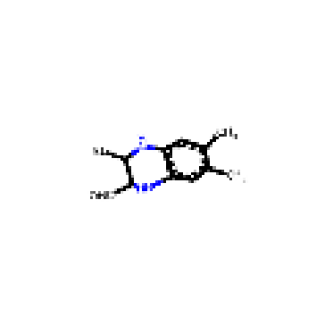 CCC1Nc2cc(C)c(C)cc2NC1C=O